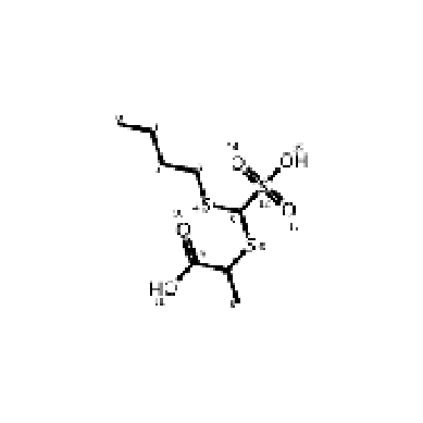 CCCCSC(SC(C)C(=O)O)S(=O)(=O)O